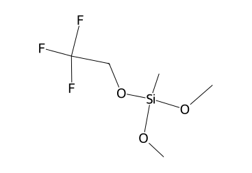 CO[Si](C)(OC)OCC(F)(F)F